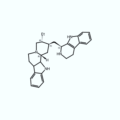 CC[C@H]1CN2CCC3c4ccccc4NC3[C@H]2C[C@@H]1C[C@@H]1NCCc2c1[nH]c1ccccc21